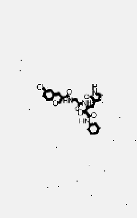 O=C(CNC(=O)C1C=C2C=C(Cl)C=CC2OC1)NC(CC1CCNC1=O)C(=O)C(=O)NC1CCCCC1